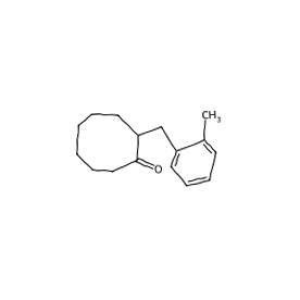 Cc1ccccc1CC1CCCCCCC1=O